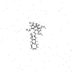 CC1=CC(C)=[N+]2C1=C(/C=C/c1cc3cc4c(cc3oc1=O)C#C/C=C\C=C/4)c1c(C)cc(C)n1[B-]2(F)F